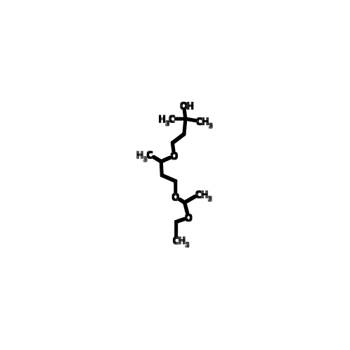 CCOC(C)OCCC(C)OCCC(C)(C)O